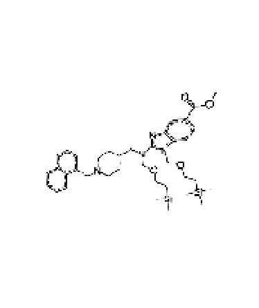 COC(=O)c1ccc2c(c1)nc(N(COCC[Si](C)(C)C)CC1CCN(Cc3cccc4ccccc34)CC1)n2COCC[Si](C)(C)C